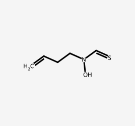 C=CCCN(O)[C]=S